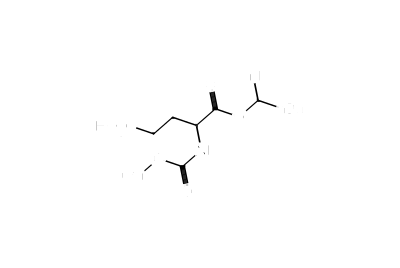 CCCCC(CCC)OC(=O)C(CCC(=O)O)NC(=O)OC(C)(C)C